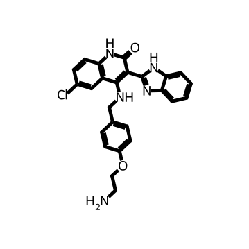 NCCOc1ccc(CNc2c(-c3nc4ccccc4[nH]3)c(=O)[nH]c3ccc(Cl)cc23)cc1